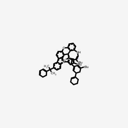 CC1C(CC2=CC(C3=CCCCC3)CC(C(C)(C)C)=C2)/C(C(C)(C)C)=C\Nc2cccc3c2C12c1c(ccc4c5cc(C(C)(C)C6=CC=CCC6)ccc5n(c14)-c1cc(C(C)(C)C)cn12)O3